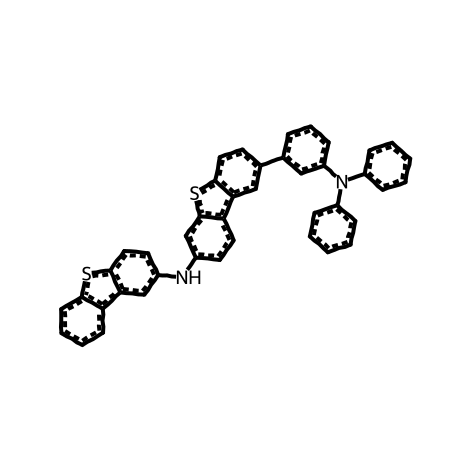 c1ccc(N(c2ccccc2)c2cccc(-c3ccc4sc5cc(Nc6ccc7sc8ccccc8c7c6)ccc5c4c3)c2)cc1